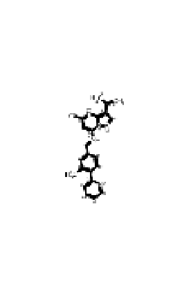 Cc1cc(CNc2cc(Cl)nc3c(C(C)C)cnn23)ccc1-c1ccccn1